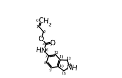 C=CCOC(=O)Nc1ccc2c(c1)CNC2